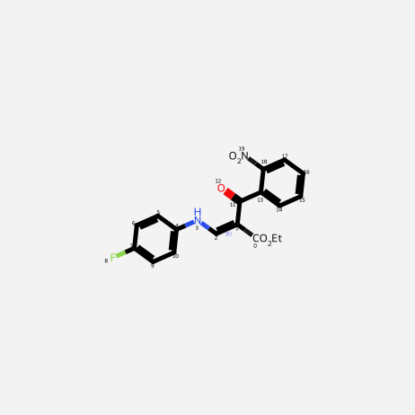 CCOC(=O)/C(=C/Nc1ccc(F)cc1)C(=O)c1ccccc1[N+](=O)[O-]